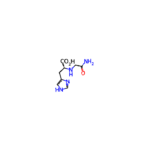 NC(=O)CN[C@@H](Cc1c[nH]cn1)C(=O)O